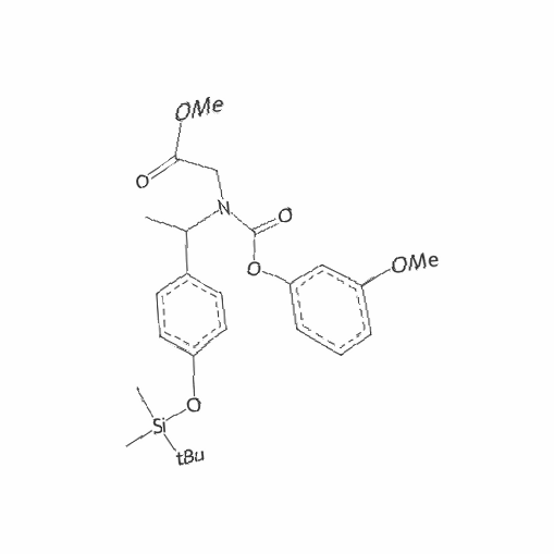 COC(=O)CN(C(=O)Oc1cccc(OC)c1)C(C)c1ccc(O[Si](C)(C)C(C)(C)C)cc1